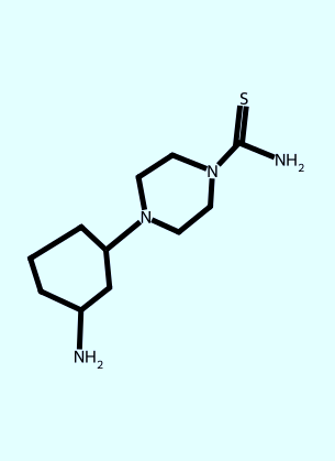 NC(=S)N1CCN(C2CCCC(N)C2)CC1